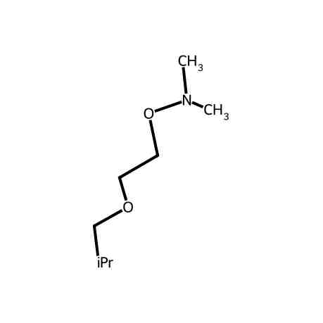 CC(C)COCCON(C)C